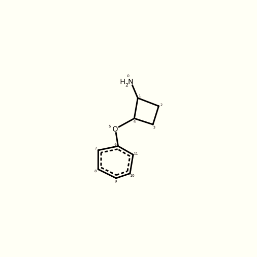 NC1CCC1Oc1ccccc1